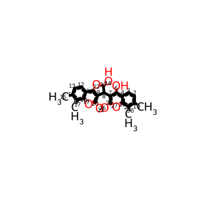 Cc1ccc2c(O)c(C3c4c(c5ccc(C)c(C)c5oc4=O)OC3O)c(=O)oc2c1C